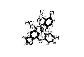 Cc1c(Cl)ccc(Cl)c1S(=O)(=O)Nc1cc(O[C@@H]2CCNC[C@H]2F)c2occc2c1.Cl